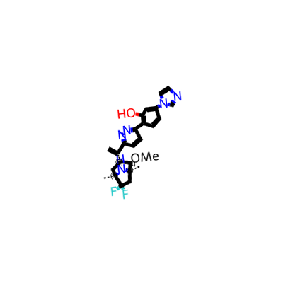 C=C(c1ccc(-c2ccc(-n3ccnc3)cc2O)nn1)[C@H]1C[C@@]2(C)N[C@](C)(CC2(F)F)[C@@H]1OC